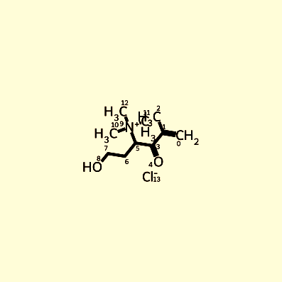 C=C(C)C(=O)C(CCO)[N+](C)(C)C.[Cl-]